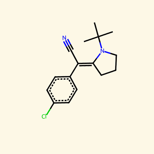 CC(C)(C)N1CCCC1=C(C#N)c1ccc(Cl)cc1